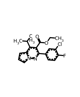 CCOC(=O)c1c(-c2ccc(F)c(Cl)c2)nn2cccc2c1C(C)C